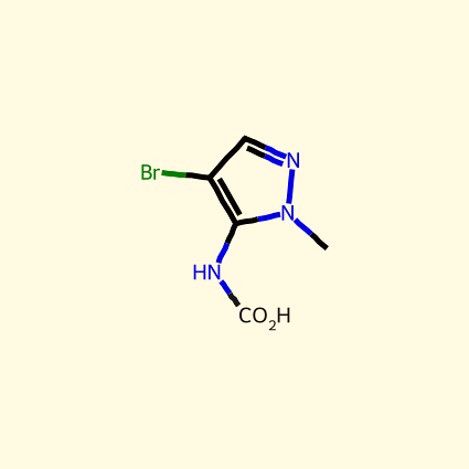 Cn1ncc(Br)c1NC(=O)O